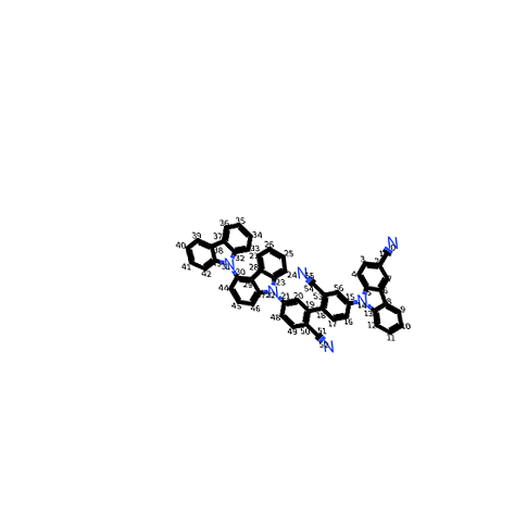 N#Cc1ccc2c(c1)c1ccccc1n2-c1ccc(-c2cc(-n3c4ccccc4c4c(-n5c6ccccc6c6ccccc65)cccc43)ccc2C#N)c(C#N)c1